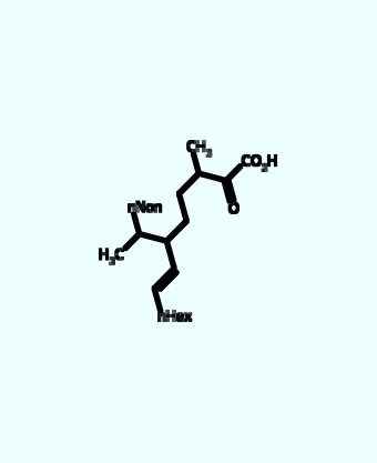 CCCCCCC=CC(CCC(C)C(=O)C(=O)O)C(C)CCCCCCCCC